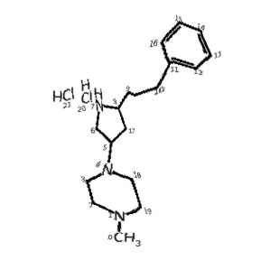 CN1CCN(C2CNC(CCc3ccccc3)C2)CC1.Cl.Cl